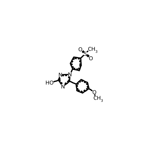 COc1ccc(-c2nc(O)nn2-c2ccc(S(C)(=O)=O)cc2)cc1